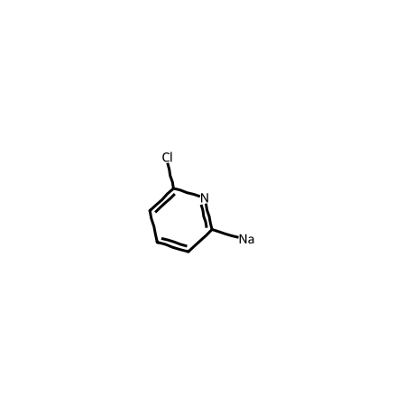 [Na][c]1cccc(Cl)n1